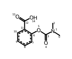 CN(C)C(=O)Oc1ccccc1C(=O)O